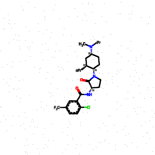 CCC[C@H]1C[C@H](N(C)C(C)C)CC[C@@H]1N1CC[C@H](NC(=O)c2cc(C(F)(F)F)ccc2Cl)C1=O